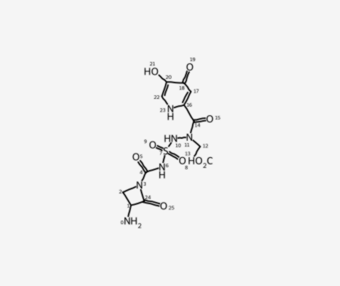 NC1CN(C(=O)NS(=O)(=O)NN(CC(=O)O)C(=O)c2cc(=O)c(O)c[nH]2)C1=O